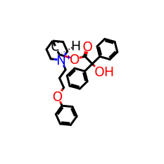 O=C(O[C@@H]1CC2CC[N+]1(CCCOc1ccccc1)CC2)C(O)(c1ccccc1)c1ccccc1